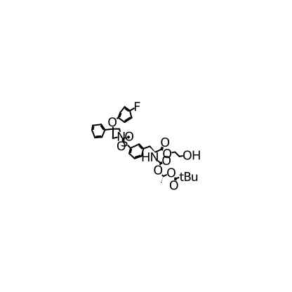 C[C@H](OC(=O)N[C@@H](Cc1cccc(S(=O)(=O)N2CC(Oc3ccc(F)cc3)(c3ccccc3)C2)c1)C(=O)OCCO)OC(=O)C(C)(C)C